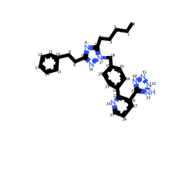 CCCCCc1nc(CCc2ccccc2)nn1Cc1ccc(-c2ncccc2-c2nnn[nH]2)cc1